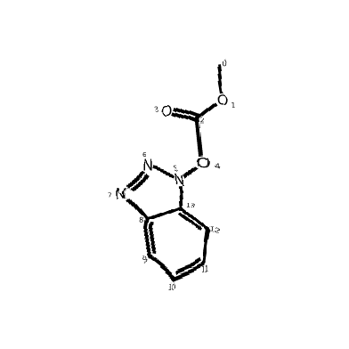 COC(=O)On1nnc2ccccc21